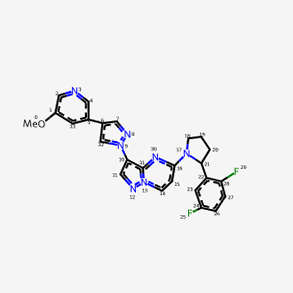 COc1cncc(-c2cnn(-c3cnn4ccc(N5CCCC5c5cc(F)ccc5F)nc34)c2)c1